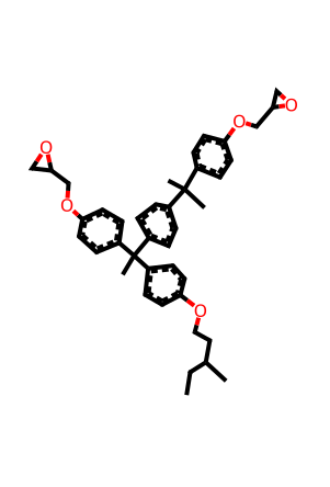 CCC(C)CCOc1ccc(C(C)(c2ccc(OCC3CO3)cc2)c2ccc(C(C)(C)c3ccc(OCC4CO4)cc3)cc2)cc1